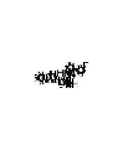 Fc1cccc(-c2cccc3[nH]c(-c4n[nH]c5ccc(-c6cncc(CN7CCCCC7)c6)cc45)nc23)c1